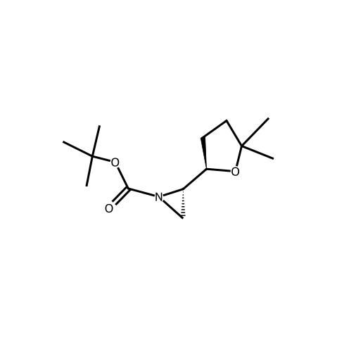 CC(C)(C)OC(=O)N1C[C@H]1[C@H]1CCC(C)(C)O1